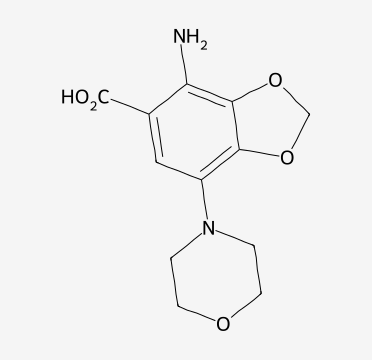 Nc1c(C(=O)O)cc(N2CCOCC2)c2c1OCO2